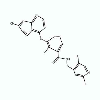 Cc1c(Oc2ccnc3cc(Cl)ccc23)cccc1C(=O)NCc1cc(F)ncc1F